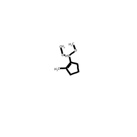 CO[SiH](OC)C1=C(C)CCC1